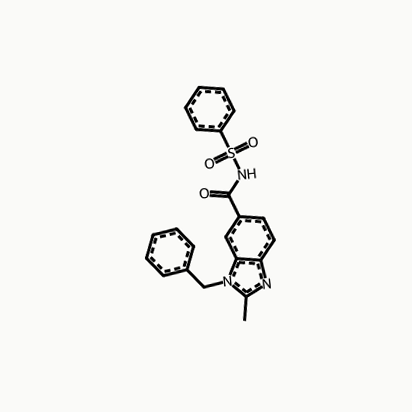 Cc1nc2ccc(C(=O)NS(=O)(=O)c3ccccc3)cc2n1Cc1ccccc1